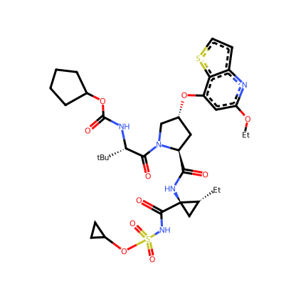 CCOc1cc(O[C@@H]2C[C@@H](C(=O)N[C@]3(C(=O)NS(=O)(=O)OC4CC4)C[C@H]3CC)N(C(=O)[C@@H](NC(=O)OC3CCCC3)C(C)(C)C)C2)c2sccc2n1